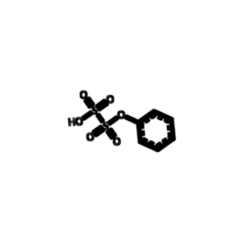 O=S(=O)(O)S(=O)(=O)Oc1ccccc1